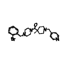 CC1(C(=O)N2CCN(Cc3ccccc3Br)CC2)CCN(Cc2ccncc2)CC1